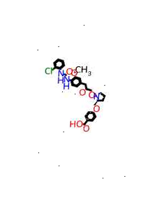 COc1cc(CC(=O)CON2CCC[C@H]2COc2ccc(C(=O)O)cc2)ccc1NC(=O)Nc1ccccc1Cl